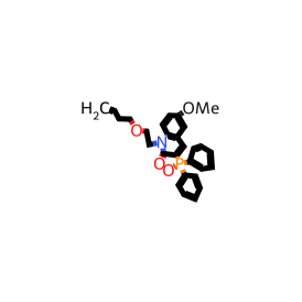 C=CCCOCCn1c(=O)c(P(=O)(c2ccccc2)c2ccccc2)cc2cc(OC)ccc21